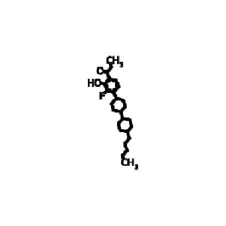 CCCCCC1CCC(C2CCC(c3ccc(C(=O)CC)c(O)c3F)CC2)CC1